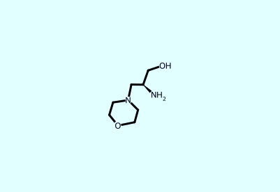 N[C@H](CO)CN1CCOCC1